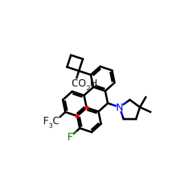 CC1(C)CCN(C(c2ccc(F)cc2)c2cccc(C3(C(=O)O)CCC3)c2-c2ccc(C(F)(F)F)cc2)C1